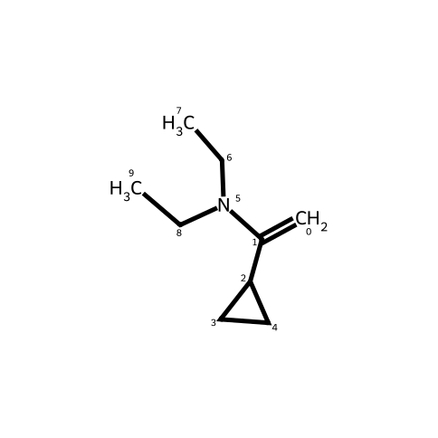 C=C(C1CC1)N(CC)CC